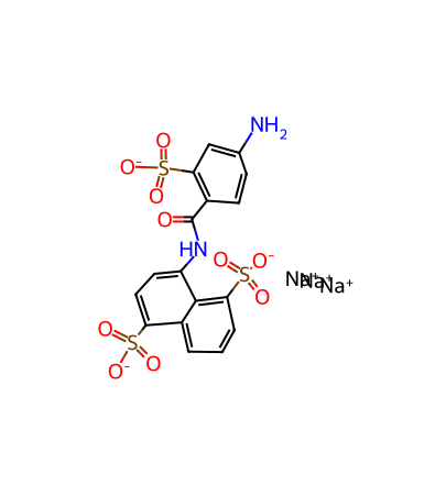 Nc1ccc(C(=O)Nc2ccc(S(=O)(=O)[O-])c3cccc(S(=O)(=O)[O-])c23)c(S(=O)(=O)[O-])c1.[Na+].[Na+].[Na+]